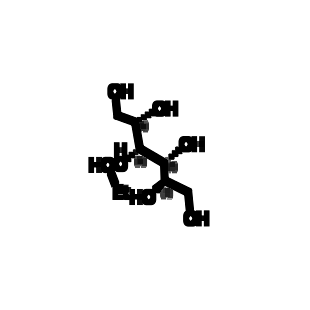 CCO.OC[C@@H](O)[C@@H](O)[C@H](O)[C@@H](O)CO